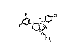 CCOC(=O)[C@H]1CC[C@@H](c2cc(F)cc(F)c2)CN1S(=O)(=O)c1ccc(Cl)cc1